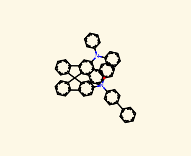 c1ccc(-c2ccc(N(c3ccccc3)c3ccc4c(c3)C3(c5ccccc5-4)c4ccccc4-c4cc(N(c5ccccc5)c5ccccc5)c5ccccc5c43)cc2)cc1